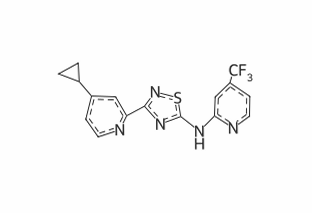 FC(F)(F)c1ccnc(Nc2nc(-c3cc(C4CC4)ccn3)ns2)c1